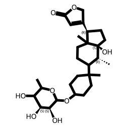 CC1OC(OC2CCC(C)(C3CCC4(C)[C@@H](C5=CC(=O)OC5)CC[C@]4(O)[C@@H]3C)CC2)[C@@H](O)[C@@H](O)C1O